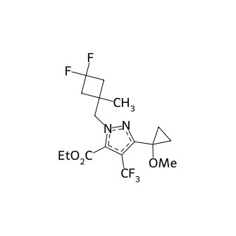 CCOC(=O)c1c(C(F)(F)F)c(C2(OC)CC2)nn1CC1(C)CC(F)(F)C1